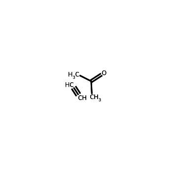 C#C.CC(C)=O